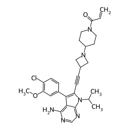 C=CC(=O)N1CCC(N2CC(C#Cc3c(-c4ccc(Cl)c(OC)c4)c4c(N)ncnc4n3C(C)C)C2)CC1